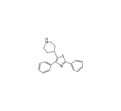 c1ccc(-c2nc(-c3ccccc3)c(C3CCNCC3)s2)cc1